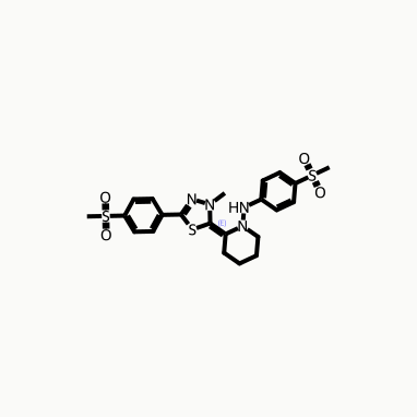 CN1N=C(c2ccc(S(C)(=O)=O)cc2)S/C1=C1\CCCCN1Nc1ccc(S(C)(=O)=O)cc1